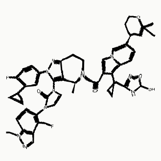 C[C@H]1c2c(nn(-c3ccc(F)c(C4CC4)c3)c2-n2ccn(-c3ccc4c(cnn4C)c3F)c2=O)CCN1C(=O)c1cn2cc([C@H]3CCOC(C)(C)C3)ccc2c1C1(C2=NOC(O)N2)CC1